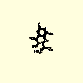 CC(C)OC(=O)c1cc(I)cc(I)c1OCC(C(=O)O)C(F)(F)F